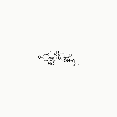 C=C(C)OCC(=O)[C@@]1(O)CC[C@H]2[C@@H]3CCC4=CC(=O)CC[C@]4(C)[C@H]3[C@@H](O)C[C@@]21C